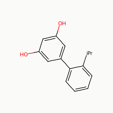 CC(C)c1ccccc1-c1cc(O)cc(O)c1